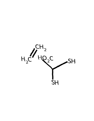 C=C.O=C(O)C(S)S